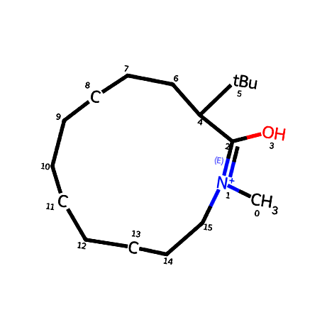 C/[N+]1=C(\O)C(C(C)(C)C)CCCCCCCCCC1